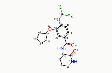 O=C(N[C@H]1CCCNC1=O)c1ccc(OC(F)F)c(OC2CCCC2)c1